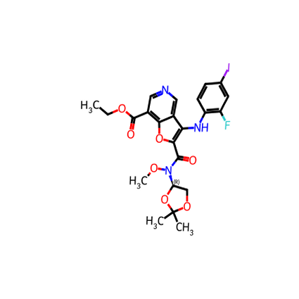 CCOC(=O)c1cncc2c(Nc3ccc(I)cc3F)c(C(=O)N(OC)[C@H]3COC(C)(C)O3)oc12